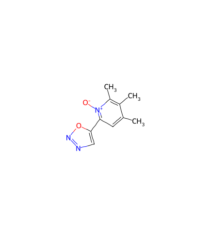 Cc1cc(-c2cnno2)[n+]([O-])c(C)c1C